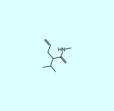 C=CCC(C(=C)NC)C(C)C